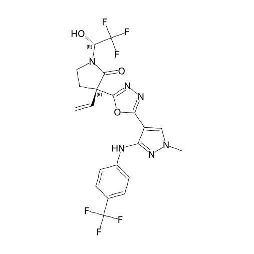 C=C[C@@]1(c2nnc(-c3cn(C)nc3Nc3ccc(C(F)(F)F)cc3)o2)CCN([C@H](O)C(F)(F)F)C1=O